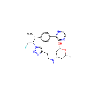 CO[C@H](c1ccc(-c2cnccn2)cc1)[C@@H](CF)n1cc(CCN(C)[C@H]2C[C@@H](C)O[C@@H](O)C2)nn1